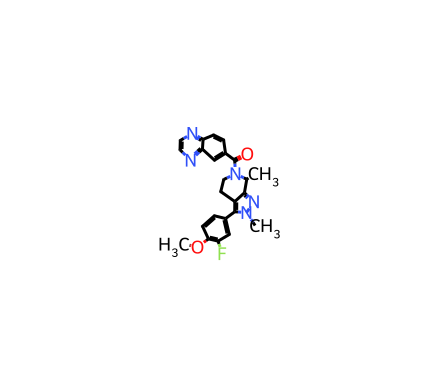 COc1ccc(-c2c3c(nn2C)C(C)N(C(=O)c2ccc4nccnc4c2)CC3)cc1F